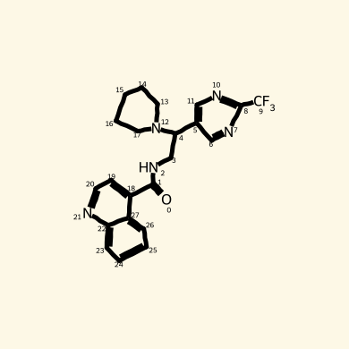 O=C(NCC(c1cnc(C(F)(F)F)nc1)N1CCCCC1)c1ccnc2ccccc12